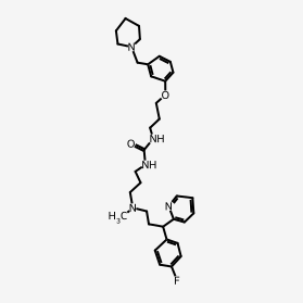 CN(CCCNC(=O)NCCCOc1cccc(CN2CCCCC2)c1)CCC(c1ccc(F)cc1)c1ccccn1